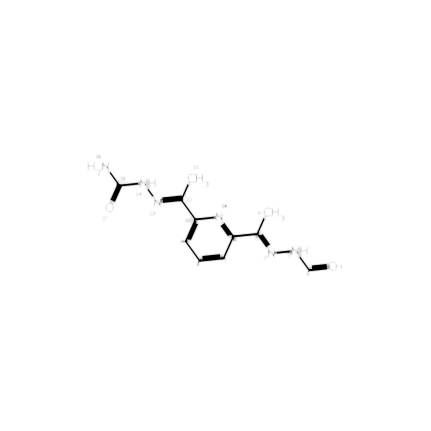 C/C(=N\NC=O)c1cccc(/C(C)=N/NC(N)=O)n1